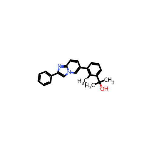 Cc1c(-c2ccc3nc(-c4ccccc4)cn3c2)cccc1C(C)(C)O